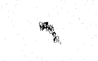 CCC(=O)N1CCC(Oc2ncnc3c2nc(-c2cnn(CC)c2C)n3C2CC2)C1